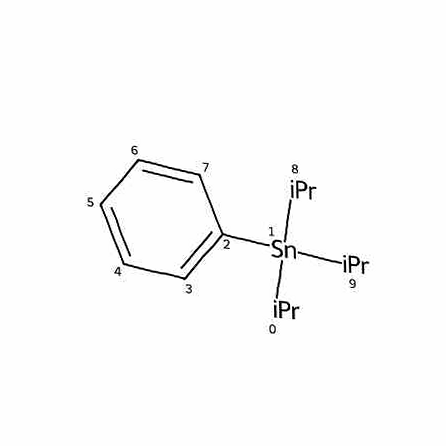 C[CH](C)[Sn]([c]1ccccc1)([CH](C)C)[CH](C)C